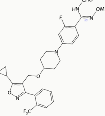 CO/N=C(\NC=O)c1ccc(N2CCC(OCc3c(-c4ccccc4C(F)(F)F)noc3C3CC3)CC2)cc1F